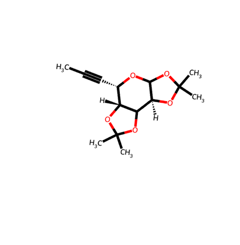 CC#C[C@@H]1OC2OC(C)(C)O[C@H]2C2OC(C)(C)O[C@@H]21